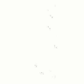 COc1ncc(-c2cc(N3CCOC(CN4CCN(S(C)(=O)=O)CC4)C3)cs2)c(OC)n1